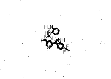 NC1CCCCC1Nc1nc(F)c2cncc(-c3c[nH]c4cc(C(F)(F)F)ccc34)c2n1